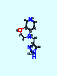 c1cc2c(cn1)OCCN2Cc1c[nH]cn1